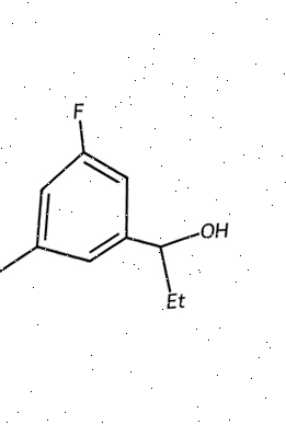 CCC(O)c1cc(F)cc(F)c1